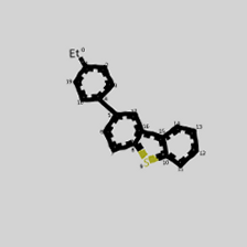 CCc1ccc(-c2ccc3sc4ccccc4c3c2)cc1